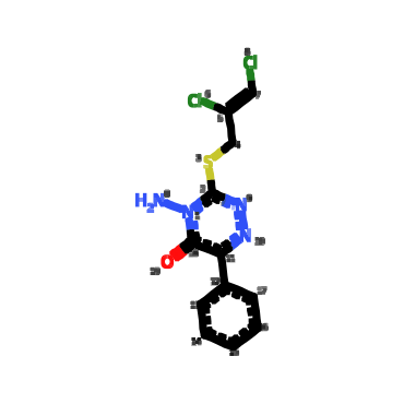 Nn1c(SCC(Cl)=CCl)nnc(-c2ccccc2)c1=O